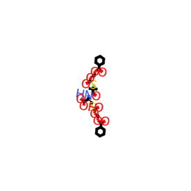 CC(C)(SC(=O)OCOC(=O)C1CCCCC1)C(=O)N[C@@H](CSC(=O)OCOC(=O)C1CCCCC1)C(=O)O